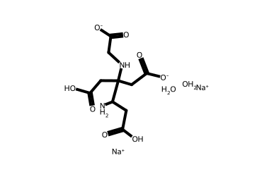 NC(CC(=O)O)C(CC(=O)[O-])(CC(=O)O)NCC(=O)[O-].O.O.[Na+].[Na+]